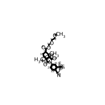 COCCOCOC(=O)C1C[C@]2(C)O[C@@]1(C)[C@H]1C(=O)N(c3ccc(C#N)c(C(F)(F)F)c3)C(=O)[C@H]12